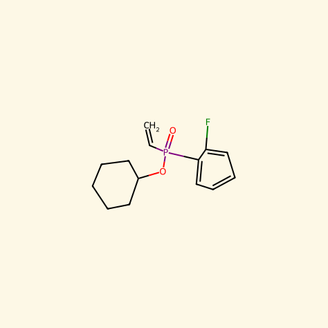 C=CP(=O)(OC1CCCCC1)c1ccccc1F